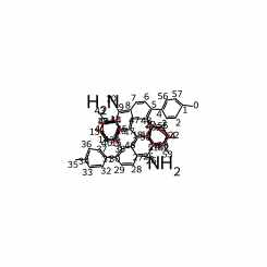 Cc1ccc(-c2ccc3c(N)c4ccccc4c(-c4c5ccccc5c(N)c5ccc(-c6ccc(C)cc6)c(-c6ccc(C)cc6)c45)c3c2-c2ccc(C)cc2)cc1